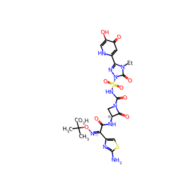 CCn1c(-c2cc(=O)c(O)c[nH]2)nn(S(=O)(=O)NC(=O)N2C[C@H](NC(=O)/C(=N\OC(C)(C)C(=O)O)c3csc(N)n3)C2=O)c1=O